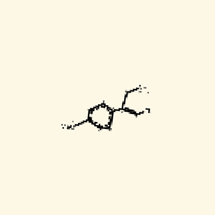 COc1ccc(C(=CCl)CN)cc1